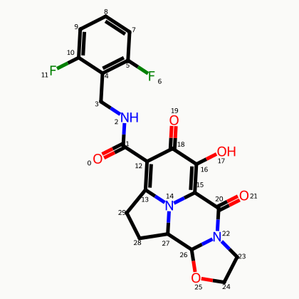 O=C(NCc1c(F)cccc1F)c1c2n3c(c(O)c1=O)C(=O)N1CCOC1C3CC2